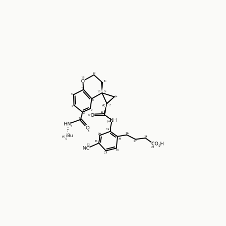 CC[C@@H](C)NC(=O)c1ccc2c(c1)[C@]1(CCO2)C[C@H]1C(=O)Nc1cc(C#N)ccc1CCCC(=O)O